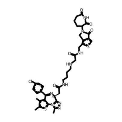 Cc1sc2c(c1C)C(c1ccc(Cl)cc1)=N[C@@H](CC(=O)NCCCCNCC(=O)NCc1scc3c1CN(C1CCCC(=O)NC1=O)C3=O)c1nnc(C)n1-2